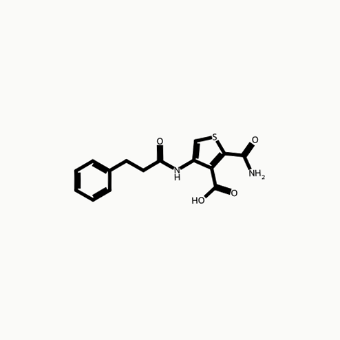 NC(=O)c1scc(NC(=O)CCc2ccccc2)c1C(=O)O